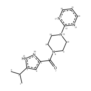 CC(C)c1cc(C(=O)N2CCN(c3ncccn3)CC2)n[nH]1